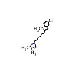 C/C=C\C(=C/CC)CCCCCCc1cc2cc(Cl)ccc2n1C